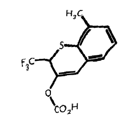 Cc1cccc2c1SC(C(F)(F)F)C(OC(=O)O)=C2